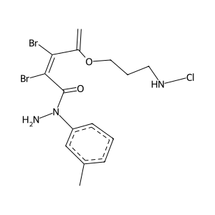 C=C(OCCCNCl)/C(Br)=C(/Br)C(=O)N(N)c1cccc(C)c1